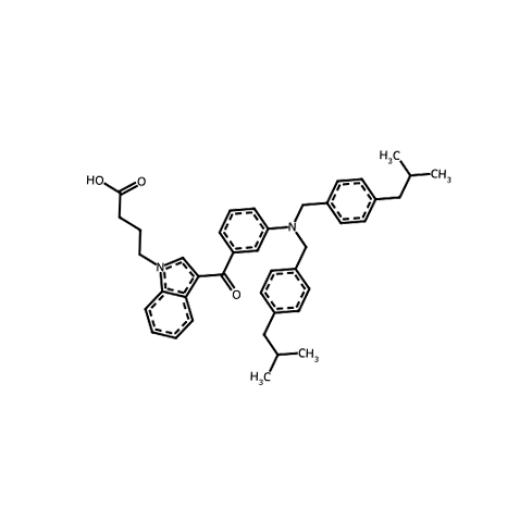 CC(C)Cc1ccc(CN(Cc2ccc(CC(C)C)cc2)c2cccc(C(=O)c3cn(CCCC(=O)O)c4ccccc34)c2)cc1